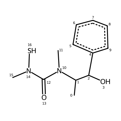 CC(C(O)c1ccccc1)N(C)C(=O)N(C)S